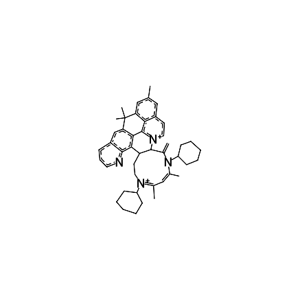 C=C1C2C(CC/[N+](C3CCCCC3)=C(C)\C=C(\C)N1C1CCCCC1)c1c3c(cc4cccnc14)C(C)(C)c1cc(C)cc4cc[n+]2c-3c14